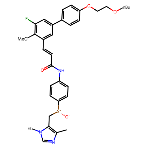 CCCCOCCOc1ccc(-c2cc(F)c(OC)c(/C=C/C(=O)Nc3ccc([S@+]([O-])Cc4c(C)ncn4CC)cc3)c2)cc1